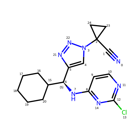 N#CC1(n2cc([C@@H](Nc3ccnc(Cl)n3)C3CCCCC3)nn2)CC1